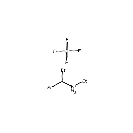 CC[NH2+]C(CC)CC.F[B-](F)(F)F